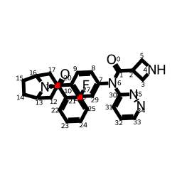 O=C(C1CNC1)N(c1ccc(C2CC3CCC(C2)N3C(=O)c2ccccc2F)cc1)c1cccnn1